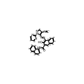 [C-]#[N+]c1cnn(-c2ncccn2)c1/N=N/c1c(O)c(C(=O)Nc2cccc3ccccc23)cc2ccccc12